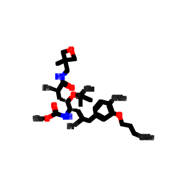 COCCCOc1cc(CC(C[C@H](NC(=O)OC(C)(C)C)[C@H](C[C@H](C(=O)NCC2(C)COC2)C(C)C)O[Si](C)(C)C(C)(C)C)C(C)C)ccc1OC